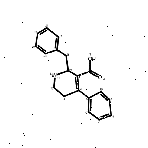 O=C(O)C1=C(c2ccccc2)CCNC1Cc1ccccc1